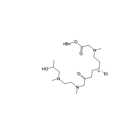 CCCCOC(=O)CN(C)CC[C@H](CC)CCC(=O)CN(C)CCN(C)CC(C)O